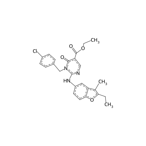 CCOC(=O)c1cnc(Nc2ccc3oc(CC)c(C)c3c2)n(Cc2ccc(Cl)cc2)c1=O